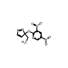 CCC1(Oc2ncc([N+](=O)[O-])cc2[N+](=O)[O-])C=CN=N1